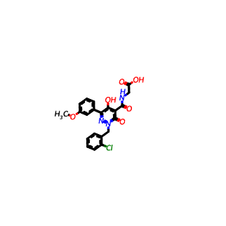 COc1cccc(-c2nn(Cc3ccccc3Cl)c(=O)c(C(=O)NCC(=O)O)c2O)c1